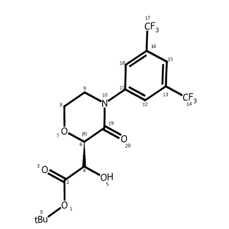 CC(C)(C)OC(=O)C(O)[C@H]1OCCN(c2cc(C(F)(F)F)cc(C(F)(F)F)c2)C1=O